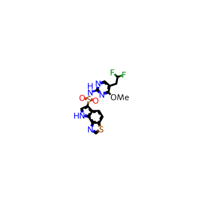 COc1nc(NS(=O)(=O)c2c[nH]c3c2ccc2scnc23)ncc1CC(F)F